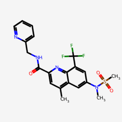 Cc1cc(C(=O)NCc2ccccn2)nc2c(C(F)(F)F)cc(N(C)S(C)(=O)=O)cc12